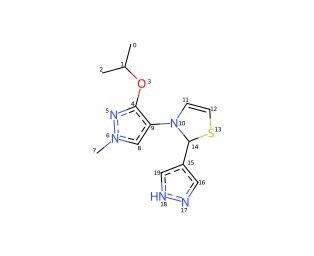 CC(C)Oc1nn(C)cc1N1C=CSC1c1cn[nH]c1